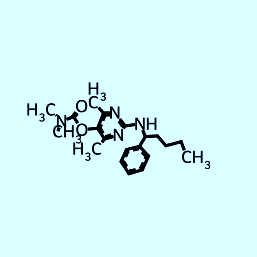 CCCCC(Nc1nc(C)c(OC(=O)N(C)C)c(C)n1)c1ccccc1